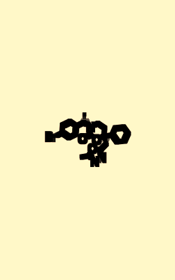 Cc1nnc(C[C@]2(c3ccccc3)CCN([C@@H](C)c3ccc(Br)cc3)C(=O)O2)o1